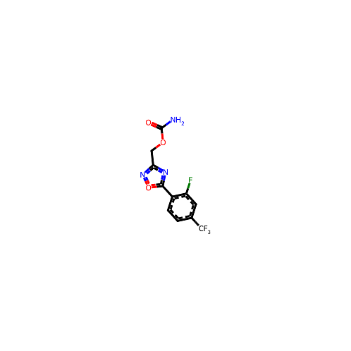 NC(=O)OCc1noc(-c2ccc(C(F)(F)F)cc2F)n1